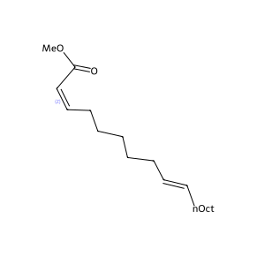 CCCCCCCCC=CCCCCC/C=C\C(=O)OC